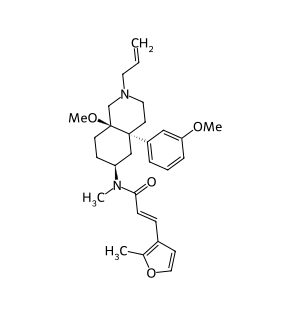 C=CCN1CC[C@@]2(c3cccc(OC)c3)C[C@@H](N(C)C(=O)/C=C/c3ccoc3C)CC[C@]2(OC)C1